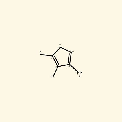 CC1=C(C)[C]([Fe])=CC1